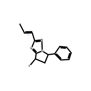 C/C=C/c1nc2n(n1)C(c1ccccc1)CC2F